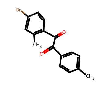 Cc1ccc(C(=O)C(=O)c2ccc(Br)cc2C)cc1